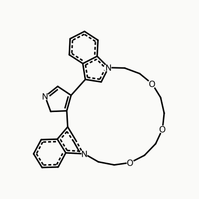 C1=NCC2=C1c1cn(c3ccccc13)CCOCCOCCOCCn1cc2c2ccccc21